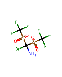 NC(Br)(S(=O)(=O)C(F)(F)F)S(=O)(=O)C(F)(F)F